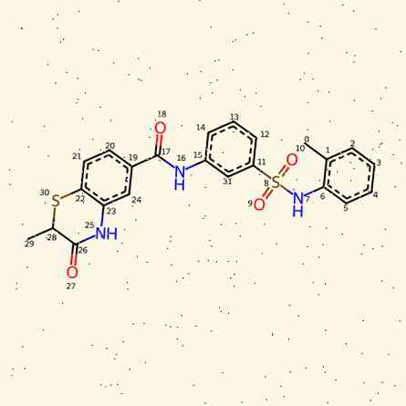 Cc1ccccc1NS(=O)(=O)c1cccc(NC(=O)c2ccc3c(c2)NC(=O)C(C)S3)c1